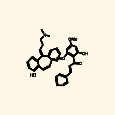 CN(C)CCC=C1c2ccccc2C=Cc2ccccc21.COc1cc(O)c(C(=O)C=Cc2ccccc2)c(OC)c1.Cl